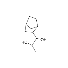 CC(O)C(O)C1CC2CCC1C2